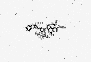 CCOC(=O)C(Cc1ccccc1)(OC[C@H]1O[C@@H](n2cnc3c(N(C(=O)OC(C)(C)C)C(=O)OC(C)(C)C)nc(Cl)nc32)[C@H](O[Si](C)(C)C(C)(C)C)[C@H]1C)C(C)=O